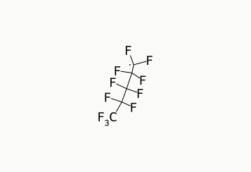 F[C](F)C(F)(F)C(F)(F)C(F)(F)C(F)(F)F